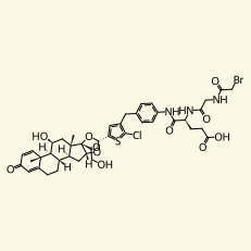 C[C@]12C=CC(=O)C=C1CC[C@@H]1[C@@H]2[C@@H](O)C[C@@]2(C)[C@H]1C[C@H]1O[C@@H](c3cc(Cc4ccc(NC(=O)[C@H](CCC(=O)O)NC(=O)CNC(=O)CBr)cc4)c(Cl)s3)O[C@]12C(=O)CO